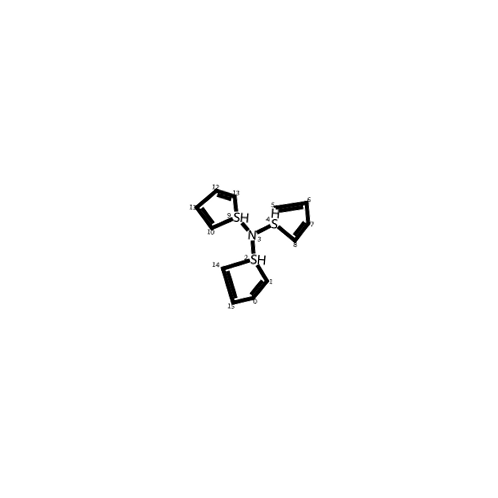 C1=C[SH](N([SH]2C=CC=C2)[SH]2C=CC=C2)C=C1